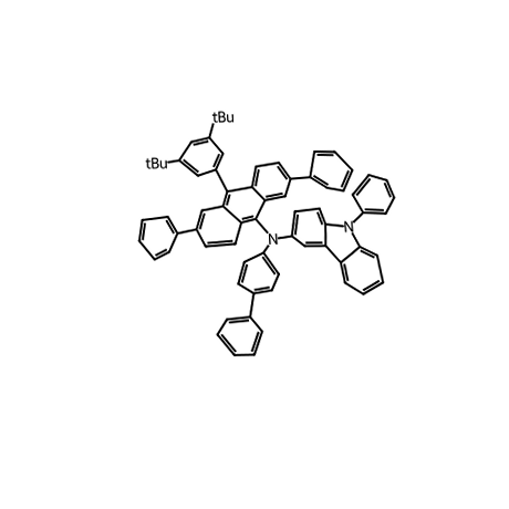 CC(C)(C)c1cc(-c2c3cc(-c4ccccc4)ccc3c(N(c3ccc(-c4ccccc4)cc3)c3ccc4c(c3)c3ccccc3n4-c3ccccc3)c3cc(-c4ccccc4)ccc23)cc(C(C)(C)C)c1